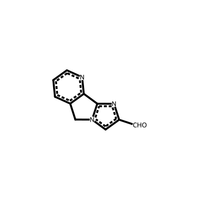 O=Cc1cn2c(n1)-c1ncccc1C2